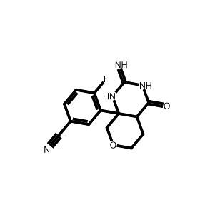 N#Cc1ccc(F)c(C23COCCC2C(=O)NC(=N)N3)c1